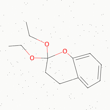 CCOC1(OCC)CCc2ccccc2O1